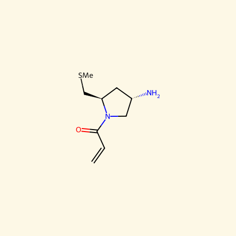 C=CC(=O)N1C[C@@H](N)C[C@@H]1CSC